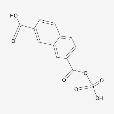 O=C(O)c1ccc2ccc(C(=O)OS(=O)(=O)O)cc2c1